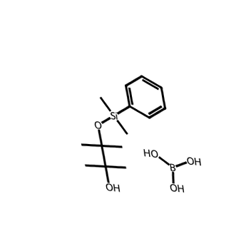 CC(C)(O)C(C)(C)O[Si](C)(C)c1ccccc1.OB(O)O